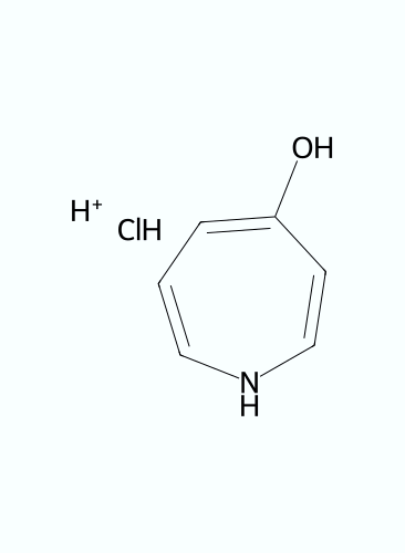 Cl.OC1=CC=CNC=C1.[H+]